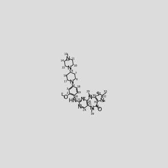 COc1cc(N2CCC(N3CCN(C)CC3)CC2)ccc1Nc1ncc2c(n1)N(C)c1sc(C)nc1C(=O)N2C